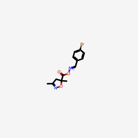 CC1=NOC(C)(C(=O)O/N=C/c2ccc(Br)cc2)C1